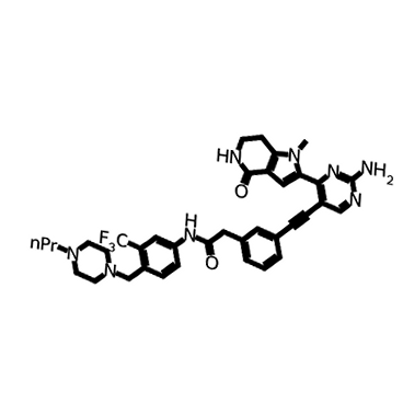 CCCN1CCN(Cc2ccc(NC(=O)Cc3cccc(C#Cc4cnc(N)nc4-c4cc5c(n4C)CCNC5=O)c3)cc2C(F)(F)F)CC1